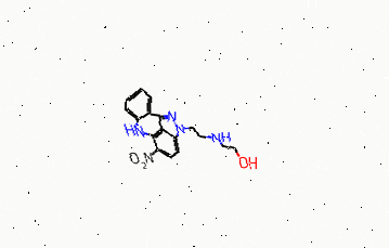 O=[N+]([O-])c1ccc2c3c(nn2CCNCCO)-c2ccccc2Nc13